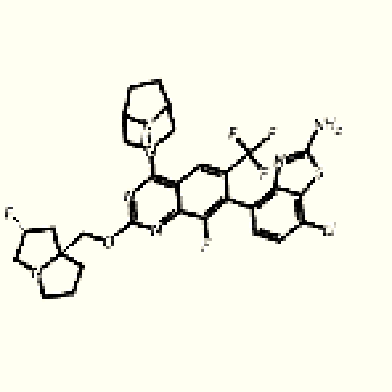 Nc1nc2c(-c3c(C(F)(F)F)cc4c(N5CC6CCC(C5)N6)nc(OC[C@@]56CCCN5C[C@H](F)C6)nc4c3F)ccc(Cl)c2s1